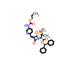 C=CCOC(=O)Nc1ccc(/C=C2/C(=O)N3C2S(=O)(=O)C(C)(C)[C@@H]3C(=O)OC(c2ccccc2)c2ccccc2)nc1